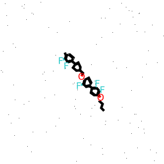 CCCCOc1ccc(-c2ccc(OCC3CC=C(c4ccc(C)c(F)c4F)CC3)c(F)c2)c(F)c1F